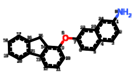 Nc1ccc2ccc(Oc3cccc4c3Cc3ccccc3-4)cc2c1